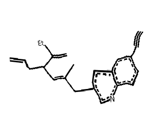 C#Cc1ccc2ncc(C/C(C)=C/C(CC=C)C(=C)CC)cc2c1